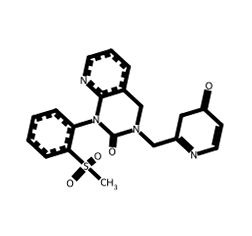 CS(=O)(=O)c1ccccc1N1C(=O)N(CC2=NC=CC(=O)C2)Cc2cccnc21